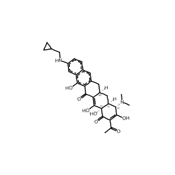 CC(=O)C1=C(O)[C@@H](N(C)C)[C@@H]2C[C@@H]3Cc4cc5ccc(NCC6CC6)cc5c(O)c4C(=O)C3=C(O)[C@]2(O)C1=O